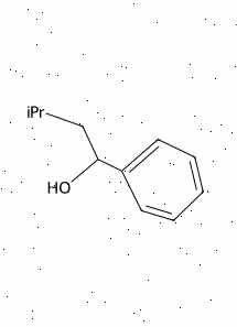 CC(C)CC(O)c1cc[c]cc1